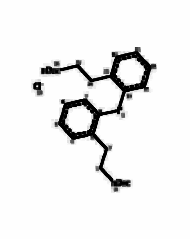 CCCCCCCCCCCCc1ccccc1[I+]c1ccccc1CCCCCCCCCCCC.[Cl-]